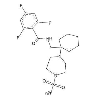 CCCS(=O)(=O)N1CCN(C2(CNC(=O)c3c(F)cc(F)cc3F)CCCCC2)CC1